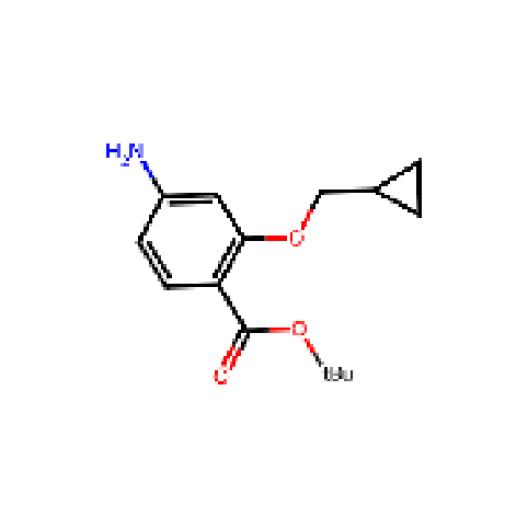 CC(C)(C)OC(=O)c1ccc(N)cc1OCC1CC1